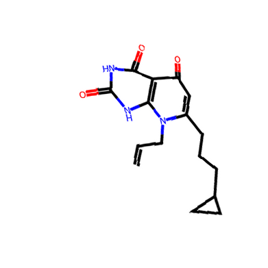 C=CCn1c(CCCC2CC2)cc(=O)c2c(=O)[nH]c(=O)[nH]c21